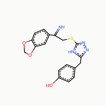 N=C(CSc1nnc(Cc2ccc(O)cc2)[nH]1)c1ccc2c(c1)OCO2